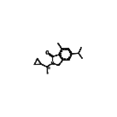 Cc1cc(C(C)C)cc2c1C(=O)N([C@@H](C)C1CC1)C2